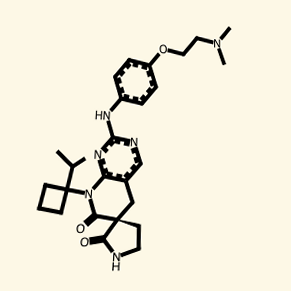 CC(C)C1(N2C(=O)[C@]3(CCNC3=O)Cc3cnc(Nc4ccc(OCCN(C)C)cc4)nc32)CCC1